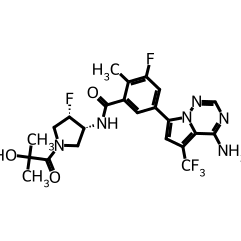 Cc1c(F)cc(-c2cc(C(F)(F)F)c3c(N)ncnn23)cc1C(=O)N[C@@H]1CN(C(=O)C(C)(C)O)C[C@@H]1F